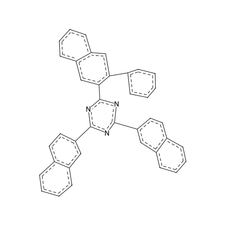 c1ccc(-c2cc3ccccc3cc2-c2nc(-c3ccc4ccccc4c3)nc(-c3ccc4ccccc4c3)n2)cc1